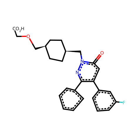 O=C(O)COC[C@H]1CC[C@@H](Cn2nc(-c3ccccc3)c(-c3cccc(F)c3)cc2=O)CC1